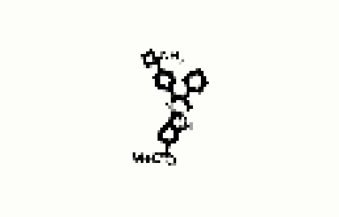 COC(=O)c1ccc2c(c1)nn1cc(-c3ccccc3)c(-c3ccc(C4(N)CCC4)cc3)nc21